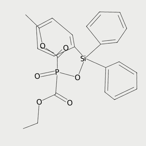 CCOC(=O)P(=O)(O[Si](c1ccccc1)(c1ccccc1)c1ccccc1)C(=O)OCC